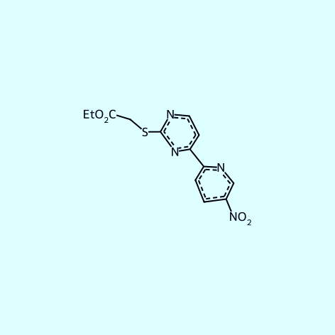 CCOC(=O)CSc1nccc(-c2ccc([N+](=O)[O-])cn2)n1